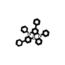 C1=CCC(N2c3cc(C4CC=CCC4)ccc3B3c4ccccc4N(c4ccccc4)c4cc(-c5ccccc5)cc2c43)C=C1